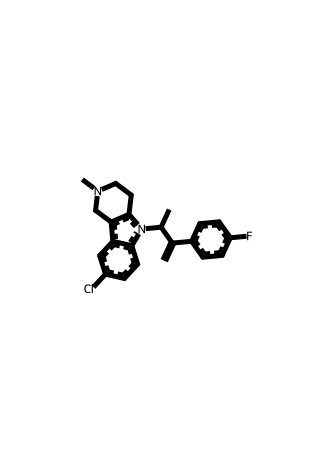 C=C(c1ccc(F)cc1)C(C)n1c2c(c3cc(Cl)ccc31)CN(C)CC2